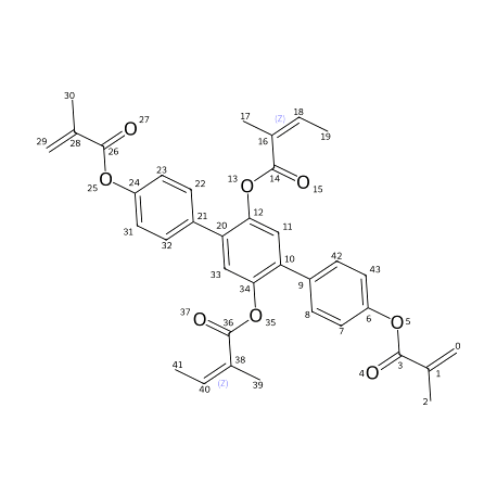 C=C(C)C(=O)Oc1ccc(-c2cc(OC(=O)/C(C)=C\C)c(-c3ccc(OC(=O)C(=C)C)cc3)cc2OC(=O)/C(C)=C\C)cc1